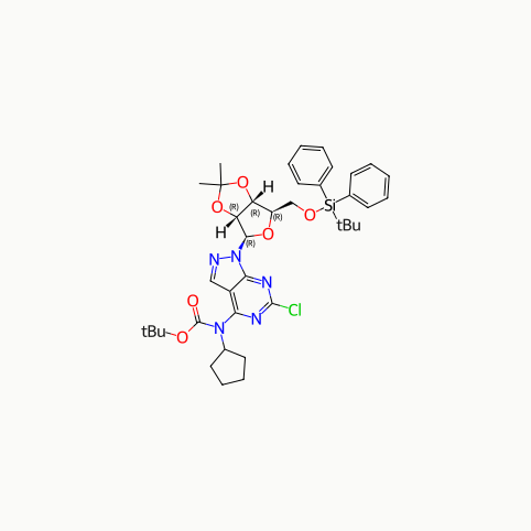 CC(C)(C)OC(=O)N(c1nc(Cl)nc2c1cnn2[C@@H]1O[C@H](CO[Si](c2ccccc2)(c2ccccc2)C(C)(C)C)[C@H]2OC(C)(C)O[C@H]21)C1CCCC1